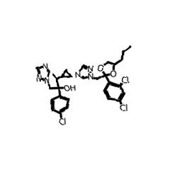 CC(C1CC1)C(O)(Cn1cncn1)c1ccc(Cl)cc1.CCCC1COC(Cn2cncn2)(c2ccc(Cl)cc2Cl)O1